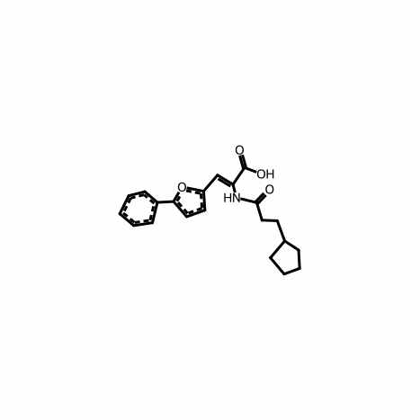 O=C(CCC1CCCC1)N/C(=C\c1ccc(-c2ccccc2)o1)C(=O)O